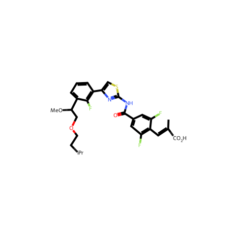 COC(COCCC(C)C)c1cccc(-c2csc(NC(=O)c3cc(F)c(C=C(C)C(=O)O)c(F)c3)n2)c1F